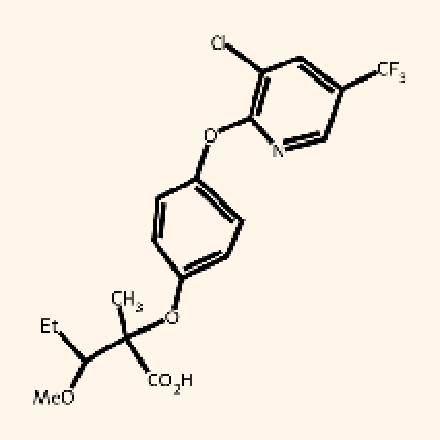 CCC(OC)C(C)(Oc1ccc(Oc2ncc(C(F)(F)F)cc2Cl)cc1)C(=O)O